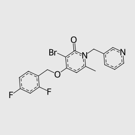 Cc1cc(OCc2ccc(F)cc2F)c(Br)c(=O)n1Cc1cccnc1